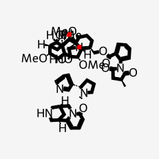 CCN1C[C@]2(COC(=O)c3ccccc3N3C(=O)C[C@H](C)C3=O)CC[C@H](OC)[C@]34C1[C@](O)([C@@H](OC)[C@H]23)[C@@]1(O)C[C@H](OC)[C@H]2C[C@@H]4[C@@H]1[C@H]2OC.CN1CCC[C@H]1c1cccnc1.O=c1cccc2n1C[C@@H]1CNC[C@H]2C1